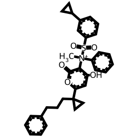 C[N+](c1ccccc1)(c1c(O)cc(C2(CCCc3ccccc3)CC2)oc1=O)S(=O)(=O)c1cccc(C2CC2)c1